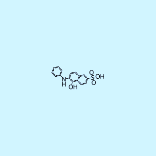 O=S(=O)(O)c1ccc2c(O)c(Nc3ccccc3)ccc2c1